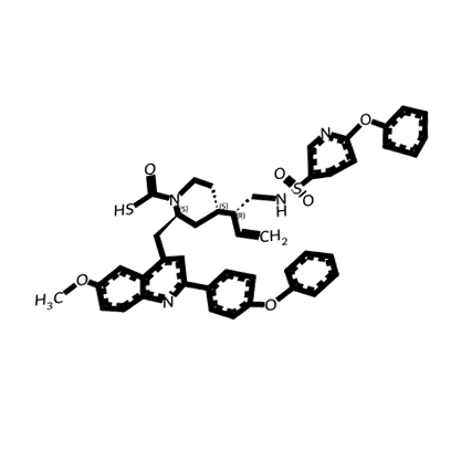 C=C[C@@H](CNS(=O)(=O)c1ccc(Oc2ccccc2)nc1)[C@H]1CCN(C(=O)S)[C@H](Cc2cc(-c3ccc(Oc4ccccc4)cc3)nc3ccc(OC)cc23)C1